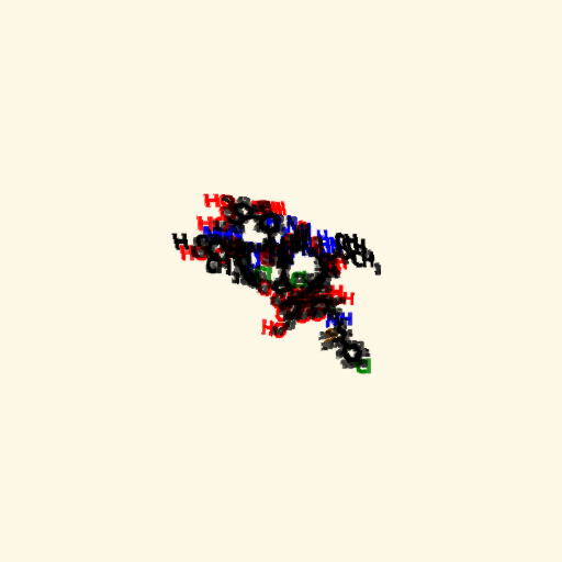 CN[C@H](CC(C)C)C(=O)NC1C(=O)N[C@@H](CC(N)=O)C(=O)N[C@H]2C(=O)N[C@H]3C(=O)N[C@H](C(=O)NC(C(=O)O)c4cc(O)cc(O)c4-c4cc3ccc4O)[C@H](O[C@H]3C[C@](C)(N)[C@@H](O)[C@H](C)O3)c3ccc(c(Cl)c3)Oc3cc2cc(c3O[C@@H]2O[C@H](CO)[C@@H](O[C@@H]3O[C@H](CNCc4cc(-c5ccc(Cl)cc5)cs4)[C@H](O)[C@H](O)[C@H]3O)[C@H](O)[C@H]2O)Oc2ccc(cc2Cl)[C@H]1O